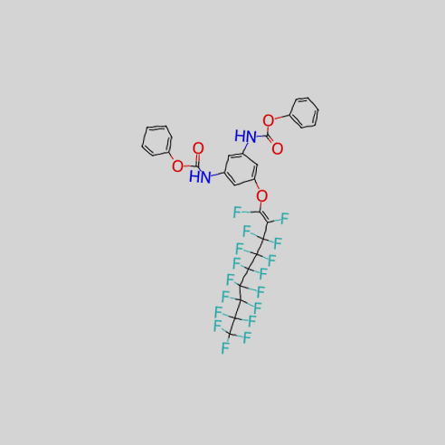 O=C(Nc1cc(NC(=O)Oc2ccccc2)cc(OC(F)=C(F)C(F)(F)C(F)(F)C(F)(F)C(F)(F)C(F)(F)C(F)(F)C(F)(F)F)c1)Oc1ccccc1